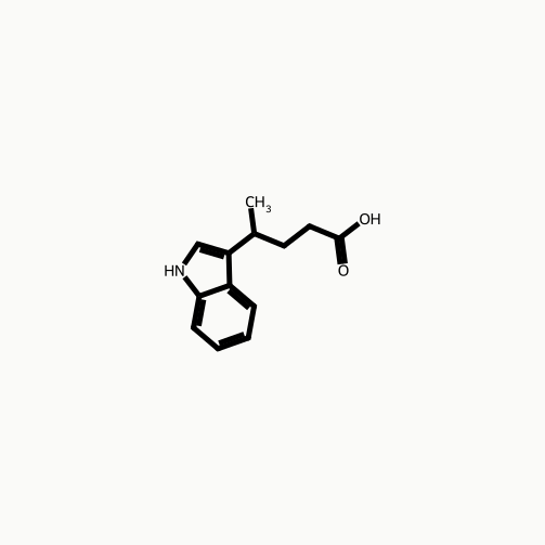 CC(CCC(=O)O)c1c[nH]c2ccccc12